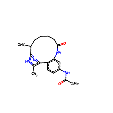 COC(=O)Nc1ccc2c(c1)NC(=O)CCCCC(C=O)c1nc-2c(C)[nH]1